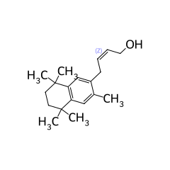 Cc1cc2c(cc1C/C=C\CO)C(C)(C)CCC2(C)C